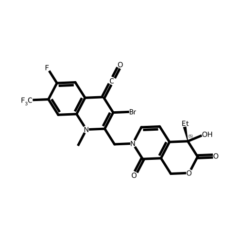 CC[C@@]1(O)C(=O)OCc2c1ccn(CC1=C(Br)C(=C=O)c3cc(F)c(C(F)(F)F)cc3N1C)c2=O